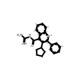 N=C(N)NC(=O)c1c(C2CCCC2)c(-c2ccccc2)nc2ccccc12